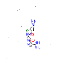 N=C(N)c1ccnc(N2CCC(NC(=O)c3ccc(-n4cnnc4)cc3Cl)C2)c1O